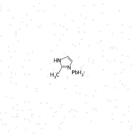 Cc1ncc[nH]1.[PbH2]